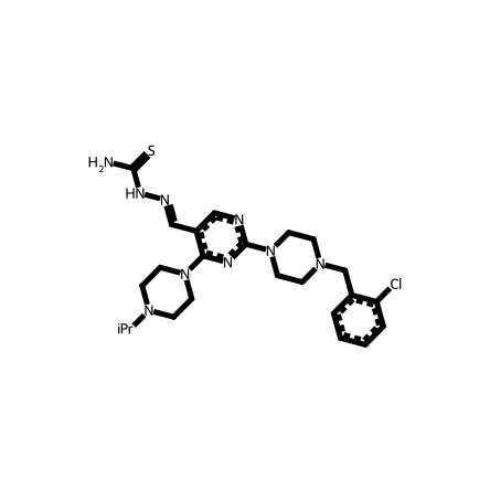 CC(C)N1CCN(c2nc(N3CCN(Cc4ccccc4Cl)CC3)ncc2C=NNC(N)=S)CC1